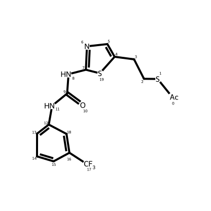 CC(=O)SCCc1cnc(NC(=O)Nc2cccc(C(F)(F)F)c2)s1